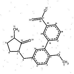 COc1ccc(CN2CCC(C)C2=O)cc1-c1cccc([N+](=O)[O-])c1